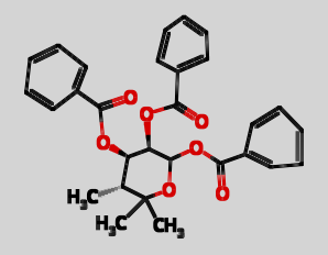 C[C@@H]1[C@@H](OC(=O)c2ccccc2)[C@@H](OC(=O)c2ccccc2)C(OC(=O)c2ccccc2)OC1(C)C